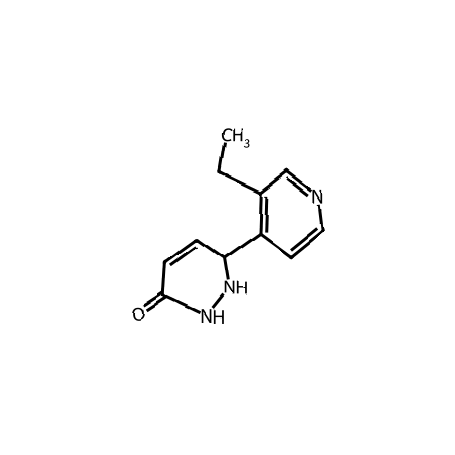 CCc1cnccc1C1C=CC(=O)NN1